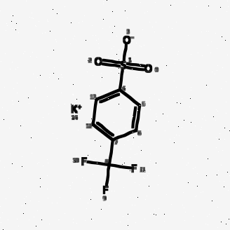 O=S(=O)([O-])c1ccc(C(F)(F)F)cc1.[K+]